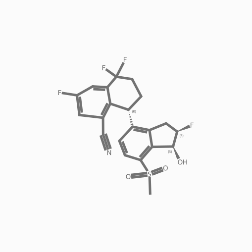 CS(=O)(=O)c1ccc([C@H]2CCC(F)(F)c3cc(F)cc(C#N)c32)c2c1[C@H](O)[C@H](F)C2